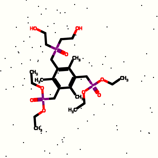 CCOP(=O)(Cc1c(C)c(CP(=O)(CCO)CCO)c(C)c(CP(=O)(OCC)OCC)c1C)OCC